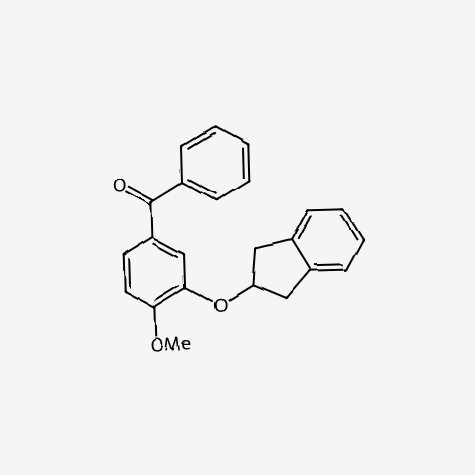 COc1ccc(C(=O)c2ccccc2)cc1OC1Cc2ccccc2C1